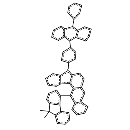 CC1(C)c2ccccc2-c2c(-c3c4ccccc4cc4ccc5c(c6ccccc6n5-c5ccc(-c6c7ccccc7c(-c7ccccc7)c7ccccc67)cc5)c34)cccc21